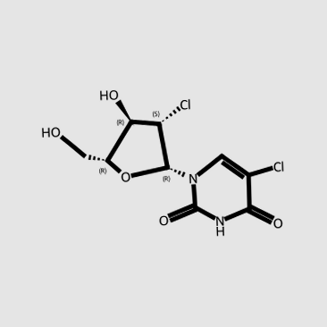 O=c1[nH]c(=O)n([C@@H]2O[C@H](CO)[C@@H](O)[C@@H]2Cl)cc1Cl